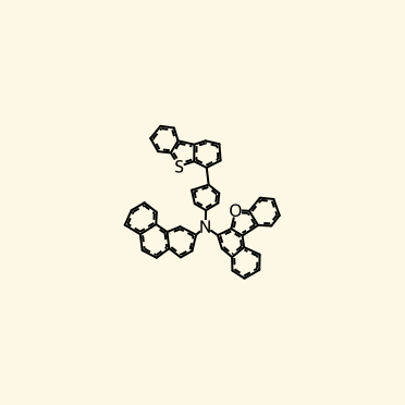 c1ccc2c(c1)ccc1ccc(N(c3ccc(-c4cccc5c4sc4ccccc45)cc3)c3cc4ccccc4c4c3oc3ccccc34)cc12